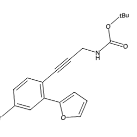 CC(C)c1ccc(C#CCNC(=O)OC(C)(C)C)c(-c2ccco2)c1